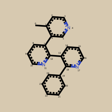 Cc1ccncc1-c1cccnc1-c1cccnc1-c1ccccc1